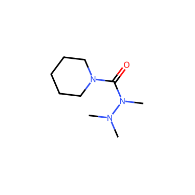 CN(C)N(C)C(=O)N1CCCCC1